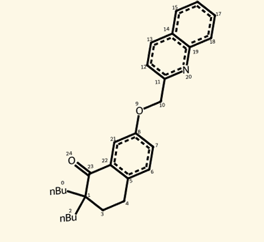 CCCCC1(CCCC)CCc2ccc(OCc3ccc4ccccc4n3)cc2C1=O